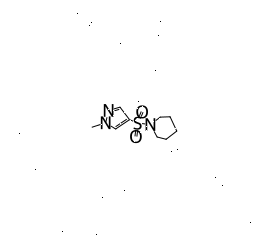 Cn1cc(S(=O)(=O)N2CCCCC2)cn1